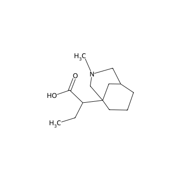 CCC(C(=O)O)C12CCCC(CN(C)C1)C2